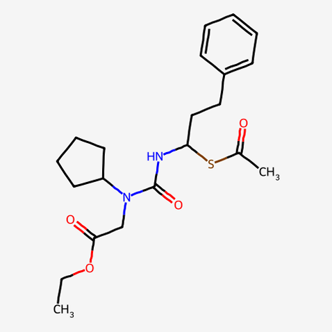 CCOC(=O)CN(C(=O)NC(CCc1ccccc1)SC(C)=O)C1CCCC1